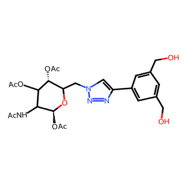 CC(=O)NC1C(OC(C)=O)[C@H](OC(C)=O)C(Cn2cc(-c3cc(CO)cc(CO)c3)nn2)O[C@H]1OC(C)=O